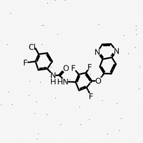 O=C(Nc1ccc(Cl)c(F)c1)Nc1cc(F)c(Oc2ccc3nccnc3c2)c(F)c1F